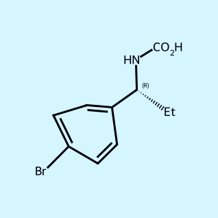 CC[C@@H](NC(=O)O)c1ccc(Br)cc1